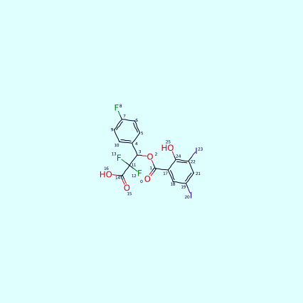 O=C(OC(c1ccc(F)cc1)C(F)(F)C(=O)O)c1cc(I)cc(I)c1O